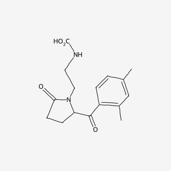 Cc1ccc(C(=O)C2CCC(=O)N2CCNC(=O)O)c(C)c1